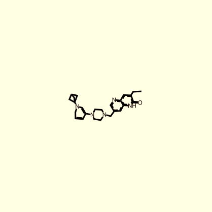 CCc1cc2ncc(CN3CCN(C4=CN(C56CC(C5)C6)CC=C4)CC3)cc2[nH]c1=O